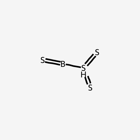 S=B[SH](=S)=S